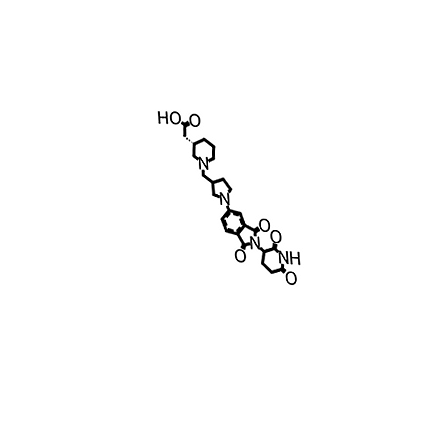 O=C(O)C[C@@H]1CCCN(CC2CCN(c3ccc4c(c3)C(=O)N(C3CCC(=O)NC3=O)C4=O)C2)C1